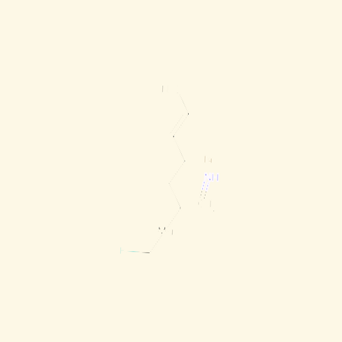 Br.C=N.CC=CCC[CH2][Mg][CH2]F